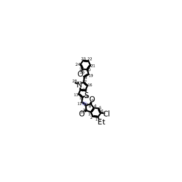 CCc1cc2c(cc1Cl)C(=O)/C(=C\c1cc3c(cc(-c4cc5ccccc5o4)n3C)s1)C2=O